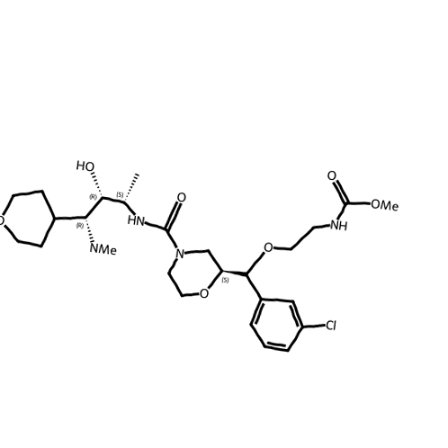 CN[C@H](C1CCOCC1)[C@H](O)[C@H](C)NC(=O)N1CCO[C@H](C(OCCNC(=O)OC)c2cccc(Cl)c2)C1